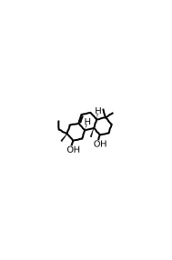 CC[C@]1(C)CC2=CC[C@H]3C(C)(C)CCC(O)[C@]3(C)[C@H]2CC1O